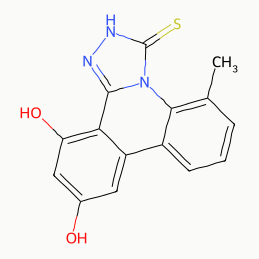 Cc1cccc2c3cc(O)cc(O)c3c3n[nH]c(=S)n3c12